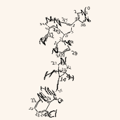 Cn1cc(-c2cc(-c3cnc(N4C[C@@H]5[C@@H](CNC(=O)c6ncccc6Cl)[C@@H]5C4)cn3)c3c(C#N)cnn3c2)cn1